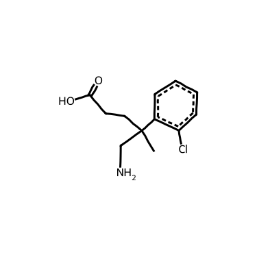 CC(CN)(CCC(=O)O)c1ccccc1Cl